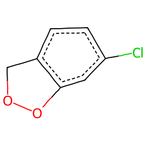 Clc1ccc2c(c1)OOC2